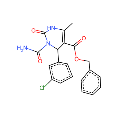 CC1=C(C(=O)OCc2ccccc2)C(c2cccc(Cl)c2)N(C(N)=O)C(=O)N1